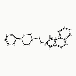 c1ccc(N2CCN(CCc3nc4ccc5ccccc5c4[nH]3)CC2)cc1